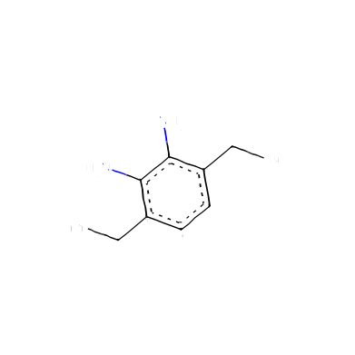 CCC(C)Cc1ccc(CC(C)C)c(N)c1N